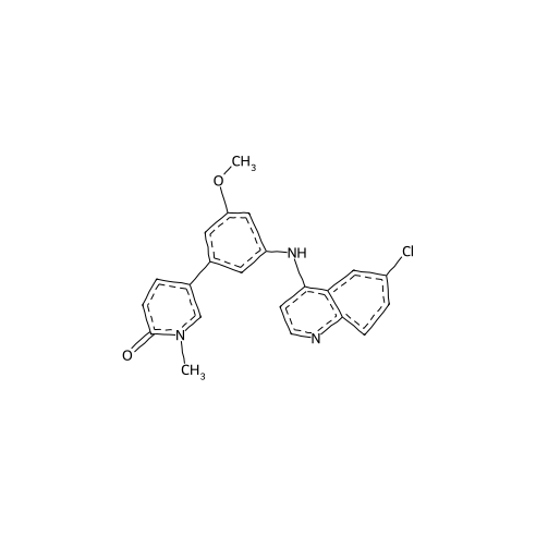 COc1cc(Nc2ccnc3ccc(Cl)cc23)cc(-c2ccc(=O)n(C)c2)c1